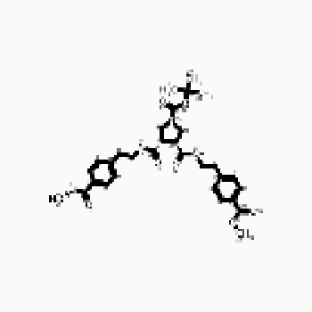 COC(=O)c1ccc(CCNC(=O)[C@@H]2CN(C(=O)OC(C)(C)C)C[C@H]2C(=O)NCCc2ccc(C(=O)OC)cc2)cc1